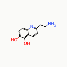 NCCc1ccc2c(O)c(O)ccc2n1